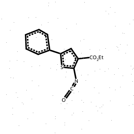 CCOC(=O)c1cc(-c2ccccc2)sc1N=C=O